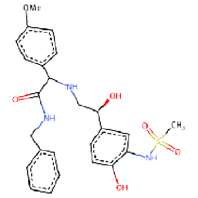 COc1ccc(C(NC[C@@H](O)c2ccc(O)c(NS(C)(=O)=O)c2)C(=O)NCc2ccccc2)cc1